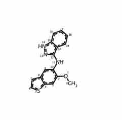 COc1cc2sccc2cc1Nc1n[nH]c2ccccc12